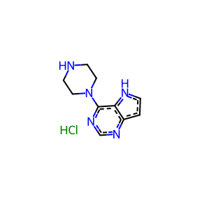 Cl.c1nc(N2CCNCC2)c2[nH]ccc2n1